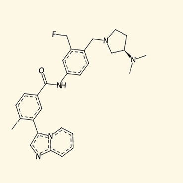 Cc1ccc(C(=O)Nc2ccc(CN3CC[C@@H](N(C)C)C3)c(CF)c2)cc1-c1cnc2ccccn12